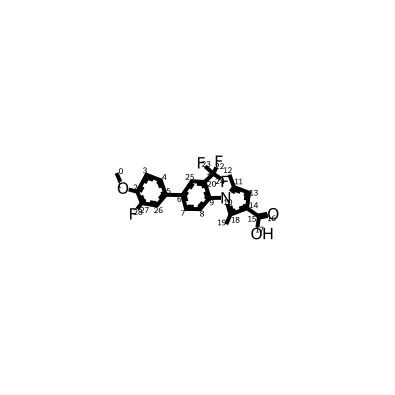 COc1ccc(-c2ccc(-n3c(C)cc(C(=O)O)c3C)c(C(F)(F)F)c2)cc1F